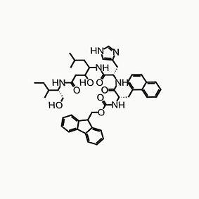 CCC(C)[C@@H](CO)NC(=O)CC(O)C(CC(C)C)NC(=O)[C@H](Cc1c[nH]cn1)NC(=O)[C@H](Cc1cccc2ccccc12)NC(=O)OCC1c2ccccc2-c2ccccc21